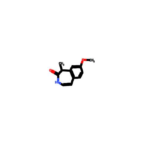 COc1ccc2c(c1)C(C)C(=O)NC=C2